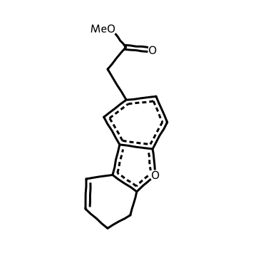 COC(=O)Cc1ccc2oc3c(c2c1)C=CCC3